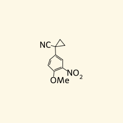 COc1ccc(C2(C#N)CC2)cc1[N+](=O)[O-]